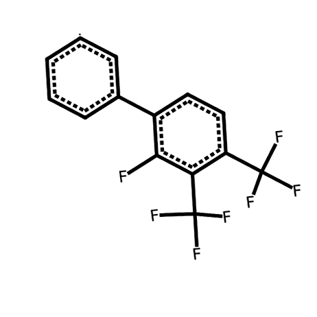 Fc1c(-c2c[c]ccc2)ccc(C(F)(F)F)c1C(F)(F)F